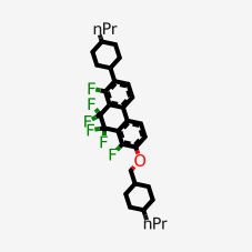 CCCC1CCC(COc2ccc3c(c2F)C(F)(F)C(F)(F)c2c-3ccc(C3CCC(CCC)CC3)c2F)CC1